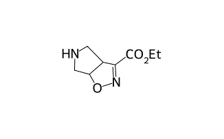 CCOC(=O)C1=NOC2CNCC12